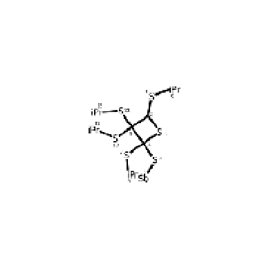 CC(C)SC1SC([S][Sb])(SC(C)C)C1(SC(C)C)SC(C)C